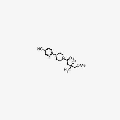 COCC(C)(C)CC(=O)N1CCN(c2ccc(C#N)cn2)CC1